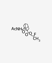 CC(=O)NC(=O)C12CC3CC(C1)CC(C(=O)OCC(C)F)(C3)C2